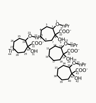 CCCOC1CCCCCC1(O)C(=O)[O-].CCCOC1CCCCCC1(O)C(=O)[O-].CCCOC1CCCCCC1(O)C(=O)[O-].CCCOC1CCCCCC1(O)C(=O)[O-].[Ti+4]